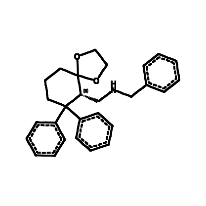 c1ccc(CNC[C@H]2C3(CCCC2(c2ccccc2)c2ccccc2)OCCO3)cc1